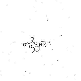 CO/C=C(\Oc1cc(-n2ccc(C(C)C)n2)ccc1C)C(=O)OC